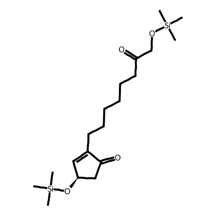 C[Si](C)(C)OCC(=O)CCCCCCC1=C[C@H](O[Si](C)(C)C)CC1=O